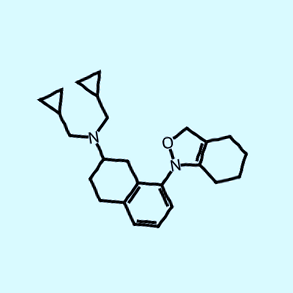 c1cc2c(c(N3OCC4=C3CCCC4)c1)CC(N(CC1CC1)CC1CC1)CC2